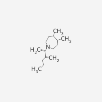 C=C(CCC)C(=C)N1CCC(C)C(C)CC1